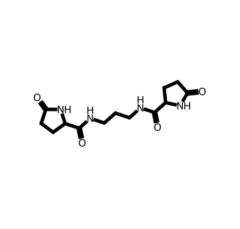 O=C1CCC(C(=O)NCCCNC(=O)C2CCC(=O)N2)N1